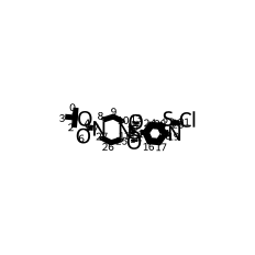 CC(C)(C)OC(=O)N1CCCN(S(=O)(=O)c2ccc3nc(Cl)sc3c2)CCC1